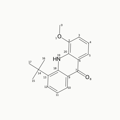 COc1cccc2c(=O)c3cccc(C(C)(C)C)c3[nH]c12